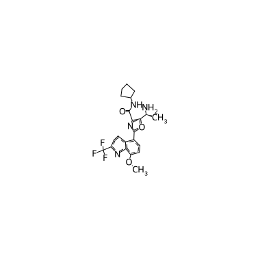 COc1ccc(-c2nc(C(=O)NC3CCCC3)c([C@H](C)N)o2)c2ccc(C(F)(F)F)nc12